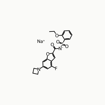 CCOc1ccccc1S(=O)(=O)[N-]C(=O)c1cc2c(F)cc(N3CCC3)cc2o1.[Na+]